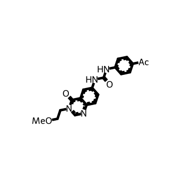 COCCn1cnc2ccc(NC(=O)Nc3ccc(C(C)=O)cc3)cc2c1=O